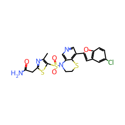 Cc1nc(CC(N)=O)sc1S(=O)(=O)N1CCSc2c(-c3cc4cc(Cl)ccc4o3)cncc21